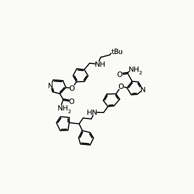 CC(C)(C)CCNCc1ccc(Oc2ccncc2C(N)=O)cc1.NC(=O)c1cnccc1Oc1ccc(CNCCC(c2ccccc2)c2ccccc2)cc1